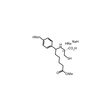 CCCCCCCCCc1ccc(C(CCCCC(=O)OC)N[C@@H](CS)C(=O)O)cc1.[NaH].[NaH]